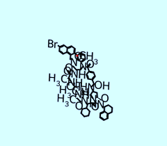 CN[C@@H](C)C(=O)N[C@H]1CN(C(=O)c2ccc(C(O)N[C@H]3C[C@@H](C(=O)N[C@@H]4CCCc5ccccc54)N(C(=O)[C@@H](NC(=O)[C@H](C)NC)C4CCCCC4)C3)cc2)c2ccccc2N(Cc2c(OC)ccc3cc(Br)ccc23)C1=O